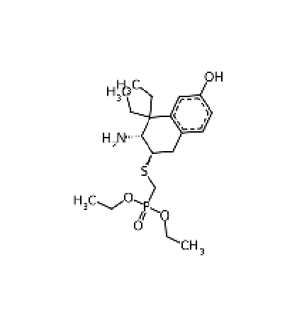 CCOP(=O)(CS[C@@H]1Cc2ccc(O)cc2C(CC)(CC)[C@H]1N)OCC